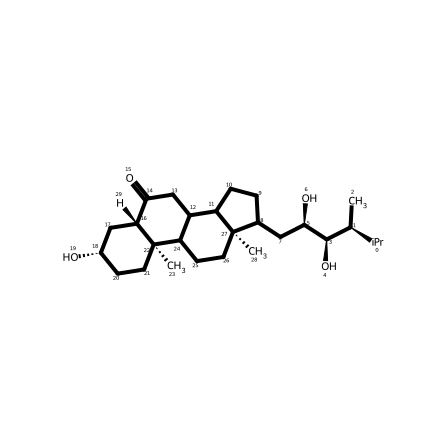 CC(C)[C@H](C)[C@@H](O)[C@H](O)CC1CCC2C3CC(=O)[C@H]4C[C@@H](O)CC[C@]4(C)C3CC[C@]12C